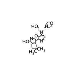 CC1(C)CCc2c(O)nc3oc4c(N(CCO)CCN5CCOCC5)ncnc4c3c2C1